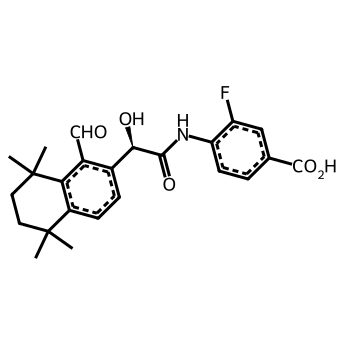 CC1(C)CCC(C)(C)c2c1ccc([C@@H](O)C(=O)Nc1ccc(C(=O)O)cc1F)c2C=O